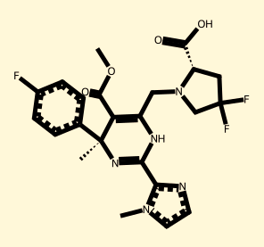 COC(=O)C1=C(CN2CC(F)(F)C[C@H]2C(=O)O)NC(c2nccn2C)=N[C@@]1(C)c1ccc(F)cc1